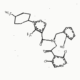 O=C(CN(Cc1ccccc1O)C(=O)c1cnn(C2CCC(C(=O)O)CC2)c1C(F)(F)F)c1c(Cl)cncc1Cl